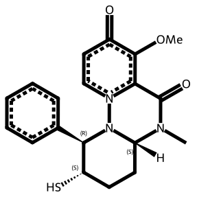 COc1c2n(ccc1=O)N1[C@H](c3ccccc3)[C@@H](S)CC[C@H]1N(C)C2=O